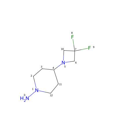 NN1CCC(N2CC(F)(F)C2)CC1